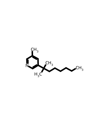 CCCCCCC(C)(C)c1cncc(C)c1